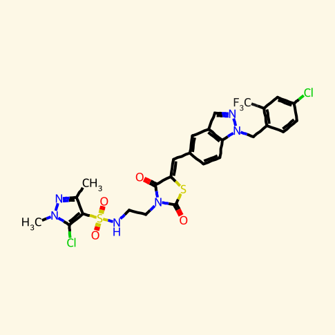 Cc1nn(C)c(Cl)c1S(=O)(=O)NCCN1C(=O)S/C(=C\c2ccc3c(cnn3Cc3ccc(Cl)cc3C(F)(F)F)c2)C1=O